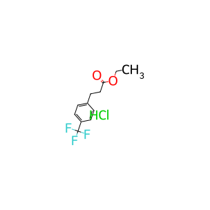 CCOC(=O)CCc1ccc(C(F)(F)F)cc1.Cl